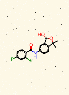 CC1(C)OB(O)c2cc(NC(=O)c3ccc(F)cc3Br)ccc21